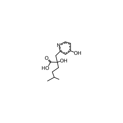 CC(C)CCC(O)(Cc1cc(O)ccn1)C(=O)O